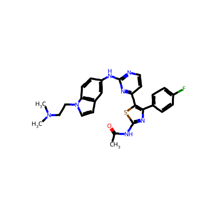 CC(=O)Nc1nc(-c2ccc(F)cc2)c(-c2ccnc(Nc3ccc4c(ccn4CCN(C)C)c3)n2)s1